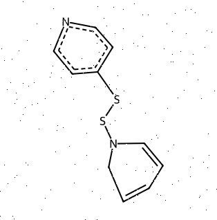 C1=CCN(SSc2ccncc2)C=C1